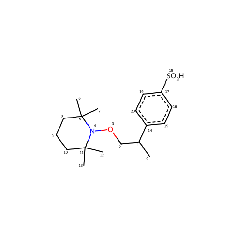 CC(CON1C(C)(C)CCCC1(C)C)c1ccc(S(=O)(=O)O)cc1